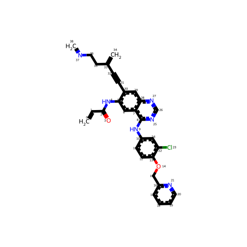 C=CC(=O)Nc1cc2c(Nc3ccc(OCc4ccccn4)c(Cl)c3)ncnc2cc1C#CC(=C)CCN=C